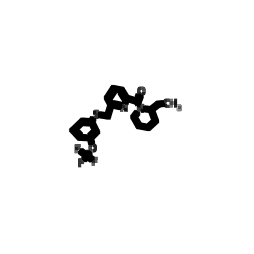 CCC1CCCCN1C(=O)c1cccc(CSc2cccc(OC(F)(F)F)c2)n1